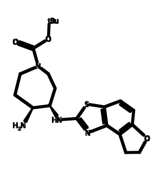 CC(C)(C)OC(=O)N1CC[C@H](N)[C@H](Nc2nc3c4c(ccc3s2)OCC4)CC1